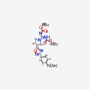 CCCCCCCCCCc1ccc(-c2noc([C@H]3CCN(C(=NC(=O)OC(C)(C)C)NC(=O)OC(C)(C)C)C3)n2)cc1